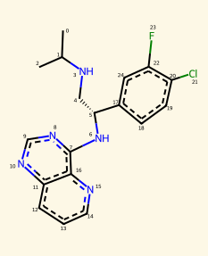 CC(C)NC[C@@H](Nc1ncnc2cccnc12)c1ccc(Cl)c(F)c1